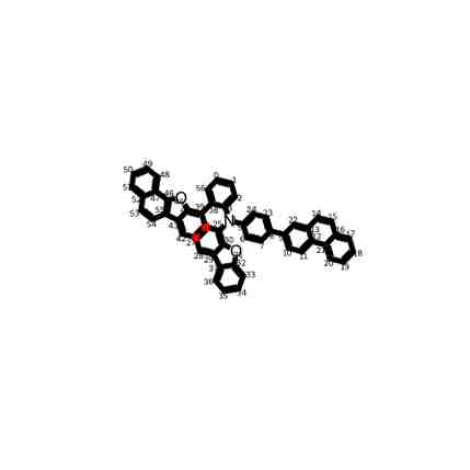 c1ccc(N(c2ccc(-c3ccc4c(ccc5ccccc54)c3)cc2)c2cccc3c2oc2ccccc23)c(-c2cccc3c2oc2c4ccccc4ccc32)c1